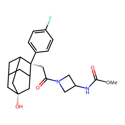 COC(=O)NC1CN(C(=O)C[C@]2(c3ccc(F)cc3)C3CC4CC2C[C@](O)(C4)C3)C1